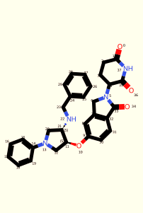 O=C1CCC(N2Cc3cc(O[C@H]4CN(c5ccccc5)C[C@@H]4NCc4ccccc4)ccc3C2=O)C(=O)N1